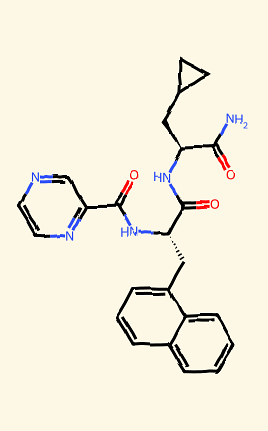 NC(=O)[C@H](CC1CC1)NC(=O)[C@H](Cc1cccc2ccccc12)NC(=O)c1cnccn1